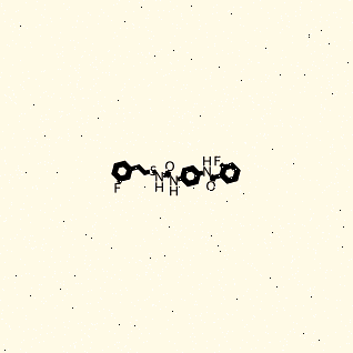 O=C(NSCCc1cccc(F)c1)Nc1ccc(NC(=O)c2ccccc2F)cc1